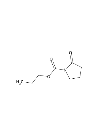 CCCOC(=O)N1CCCC1=O